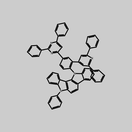 c1ccc(-c2cc(-c3cc(-c4cc(-c5ccccc5)nc(-c5ccccc5)n4)ccc3-n3c4ccccc4c4ccc5c(c6ccccc6n5-c5ccccc5)c43)cc(-c3ccccc3)n2)cc1